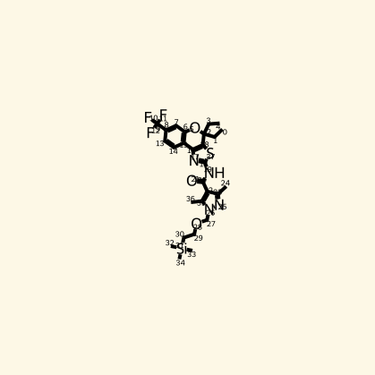 CCC1(CC)Oc2cc(C(F)(F)F)ccc2-c2nc(NC(=O)c3c(C)nn(COCC[Si](C)(C)C)c3C)sc21